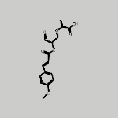 COc1ccc(/C=C/C(=O)OC(C=O)COC(C)C(=O)O)cc1